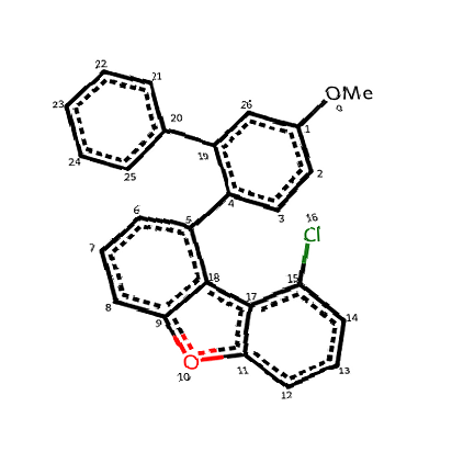 COc1ccc(-c2cccc3oc4cccc(Cl)c4c23)c(-c2ccccc2)c1